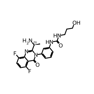 C[C@H](N)c1nc2c(F)ccc(F)c2c(=O)n1-c1cccc(NC(=O)NCCCO)c1